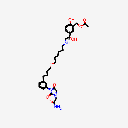 CC(=O)OCc1cc([C@@H](O)CNCCCCCCOCCCCc2cccc(N3C(=O)CN(CC(N)=O)C3=O)c2)ccc1O